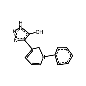 Oc1[nH]nnc1C1=CC=CN(c2ccccc2)C1